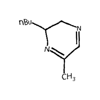 CCCCC1CN=CC(C)=N1